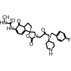 CNC(=O)NC1=CC=C2C(CC[C@]23CN(CC(=O)N(Cc2ccc(F)cc2)C2CCNCC2)C(=O)O3)C1=O